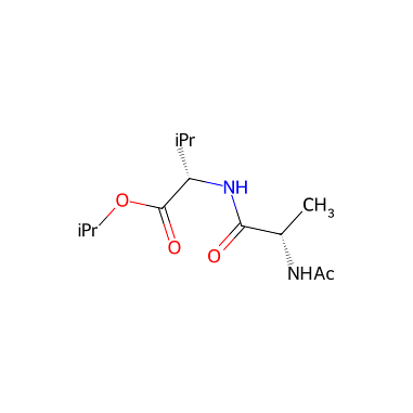 CC(=O)N[C@@H](C)C(=O)N[C@H](C(=O)OC(C)C)C(C)C